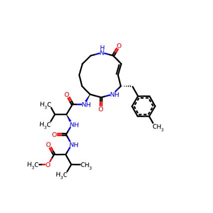 COC(=O)C(NC(=O)N[C@H](C(=O)N[C@H]1CCCCNC(=O)/C=C/[C@H](Cc2ccc(C)cc2)NC1=O)C(C)C)C(C)C